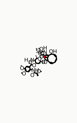 C=C(OC)C(=O)Nc1cc(OC)c(OC)cc1C(=O)O[C@@H]1C[C@@H](O[C@@H]2C(=O)C(NC(=O)OC)=C3/C(=C\CSSSC)[C@]2(O)C#C/C=C\C#CC3O)O[C@H](C)[C@@H]1N